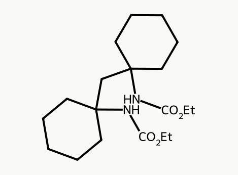 CCOC(=O)NC1(CC2(NC(=O)OCC)CCCCC2)CCCCC1